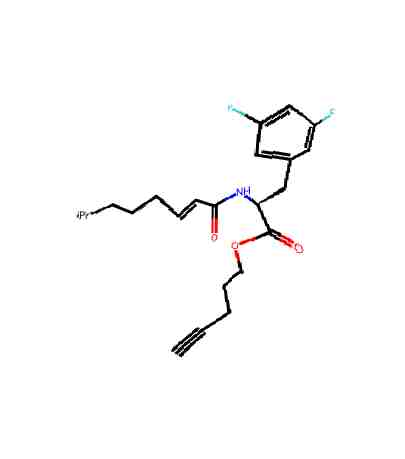 C#CCCCOC(=O)[C@H](Cc1cc(F)cc(F)c1)NC(=O)/C=C/CCCC(C)C